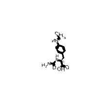 CCNc1ccc(C[C@H](NC(N)=O)C(=O)O)cc1